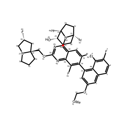 CCc1c(F)ccc2cc(OCOC)cc(-c3c(F)cc4c(N5[C@H]6CC[C@@H]5[C@@H](O)CC6)nc(OC[C@@]56CCCN5C[C@H](F)C6)nc4c3F)c12